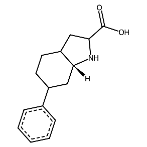 O=C(O)C1CC2CCC(c3ccccc3)C[C@H]2N1